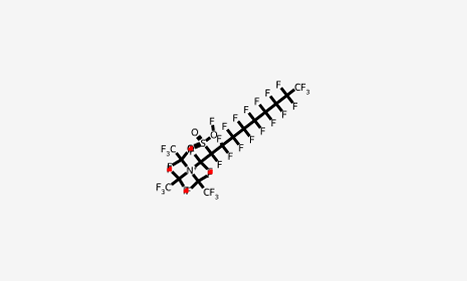 O=S(=O)(OF)C(F)(C(F)(F)C(F)(F)C(F)(F)C(F)(F)C(F)(F)C(F)(F)C(F)(F)C(F)(F)F)C(F)(F)[N+](C(F)(F)C(F)(F)F)(C(F)(F)C(F)(F)F)C(F)(F)C(F)(F)F